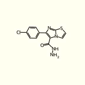 NNC(=O)c1c(-c2ccc(Cl)cc2)nc2sccn12